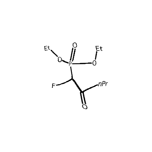 CCCC(=O)C(F)P(=O)(OCC)OCC